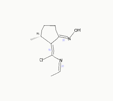 C\C=N/C(Cl)=C1\C(=N\O)CC[C@H]1C